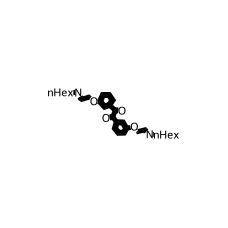 CCCCCCN=CCOc1cccc(C(=O)C(=O)c2cccc(OCC=NCCCCCC)c2)c1